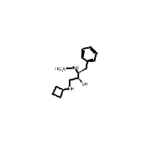 O=C(O)N[C@@H](Cc1ccccc1)[C@@H](O)CNC1CCC1